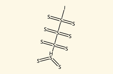 S=[SH](=S)S(=S)(=S)S(=S)(=S)S(=S)(=S)I